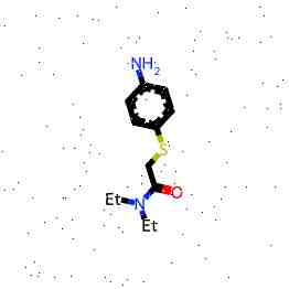 CCN(CC)C(=O)CSc1ccc(N)cc1